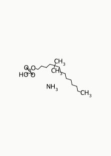 CCCCCCCCCC(C)(C)CCCCOS(=O)(=O)O.N